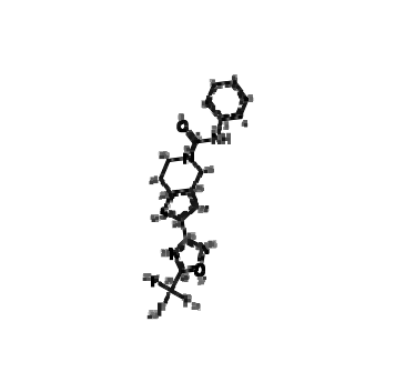 O=C(Nc1ccccc1)N1CCc2sc(-c3noc(C(F)(F)F)n3)cc2C1